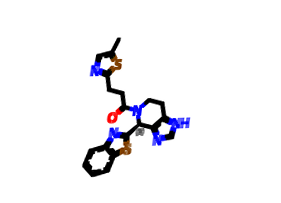 Cc1cnc(CCC(=O)N2CCc3[nH]cnc3[C@H]2c2nc3ccccc3s2)s1